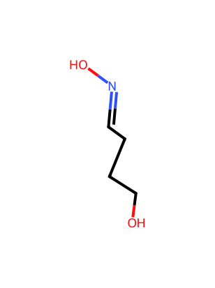 OCCCC=NO